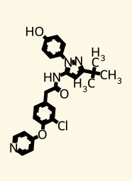 CC(C)(C)c1cc(NC(=O)Cc2ccc(Oc3ccncc3)c(Cl)c2)n(-c2ccc(O)cc2)n1